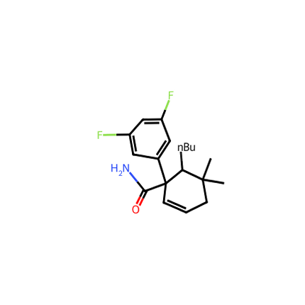 CCCCC1C(C)(C)CC=CC1(C(N)=O)c1cc(F)cc(F)c1